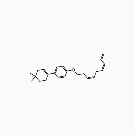 C=C/C=C\C/C=C\CCOc1ccc(C2=CCC(C)(C)CC2)cc1